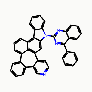 c1ccc(-c2nc(-n3c4ccccc4c4c5cccc6c5c(cc43)-c3ccncc3-c3ccccc3-6)nc3ccccc23)cc1